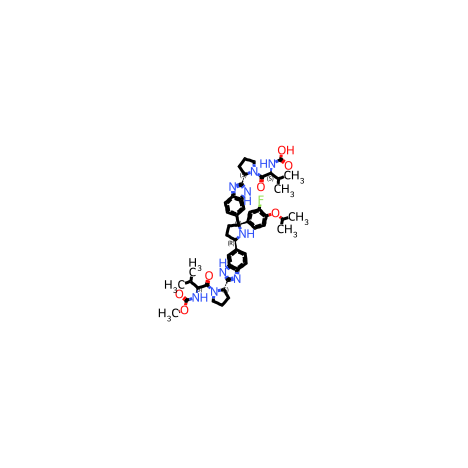 COC(=O)N[C@H](C(=O)N1CCC[C@H]1c1nc2ccc([C@H]3CC[C@](c4ccc(OC(C)C)c(F)c4)(c4ccc5nc([C@@H]6CCCN6C(=O)[C@@H](NC(=O)O)C(C)C)[nH]c5c4)N3)cc2[nH]1)C(C)C